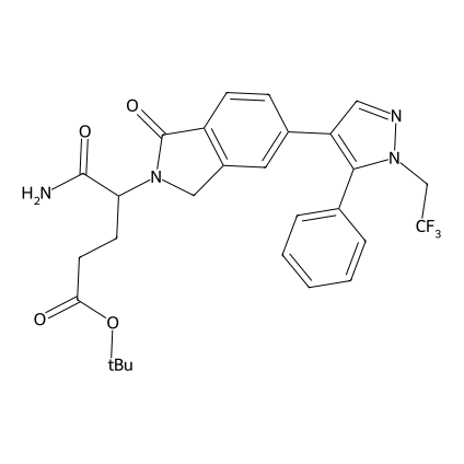 CC(C)(C)OC(=O)CCC(C(N)=O)N1Cc2cc(-c3cnn(CC(F)(F)F)c3-c3ccccc3)ccc2C1=O